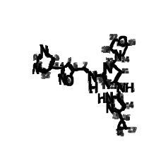 c1ncc(-c2cc(CNc3nc(Nc4cc(C5CC5)n[nH]4)cc(N4CCOCC4)n3)on2)cn1